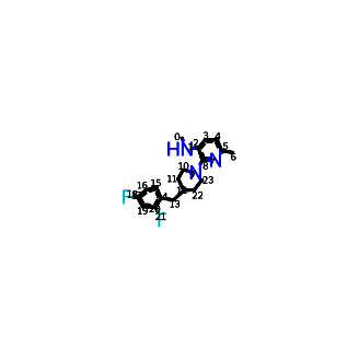 CNc1ccc(C)nc1N1CCC(Cc2ccc(F)cc2F)CC1